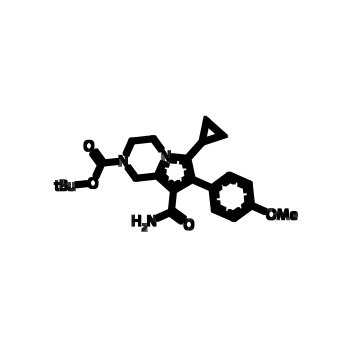 COc1ccc(-c2c(C(N)=O)c3n(c2C2CC2)CCN(C(=O)OC(C)(C)C)C3)cc1